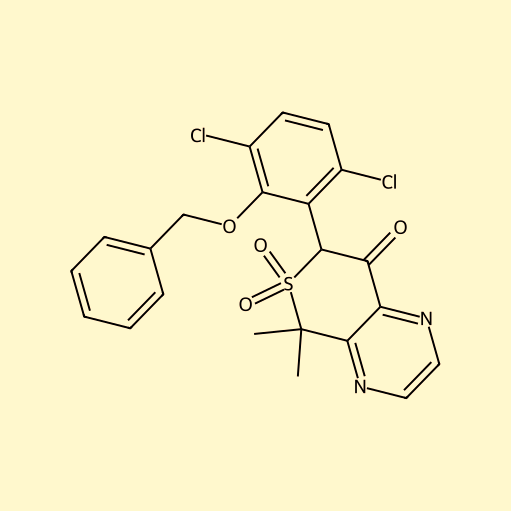 CC1(C)c2nccnc2C(=O)C(c2c(Cl)ccc(Cl)c2OCc2ccccc2)S1(=O)=O